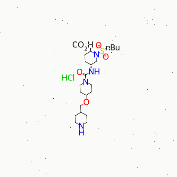 CCCCS(=O)(=O)N1C[C@@H](NC(=O)N2CCC(OCC3CCNCC3)CC2)CC[C@H]1C(=O)O.Cl